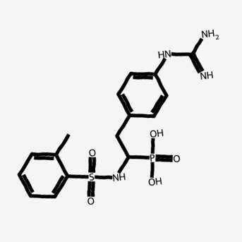 Cc1ccccc1S(=O)(=O)NC(Cc1ccc(NC(=N)N)cc1)P(=O)(O)O